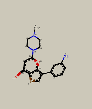 Nc1cccc(-c2csc3c(=O)cc(N4CCN(C(=O)O)CC4)oc23)c1